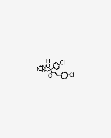 O=C(C=Cc1ccc(Cl)cc1)C(O)(Cn1cncn1)c1ccc(Cl)cc1